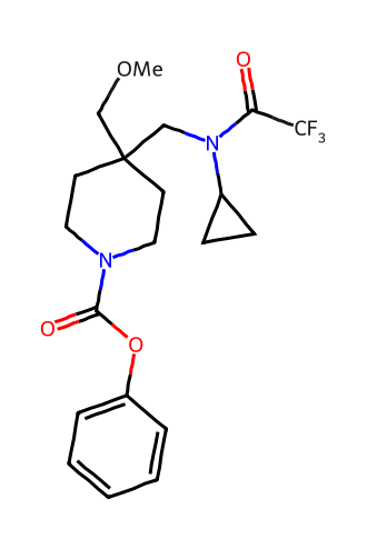 COCC1(CN(C(=O)C(F)(F)F)C2CC2)CCN(C(=O)Oc2ccccc2)CC1